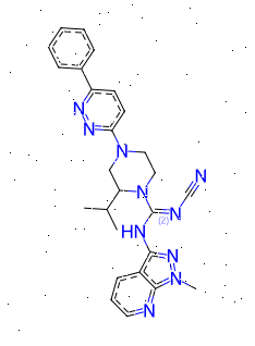 CC(C)C1CN(c2ccc(-c3ccccc3)nn2)CCN1/C(=N\C#N)Nc1nn(C)c2ncccc12